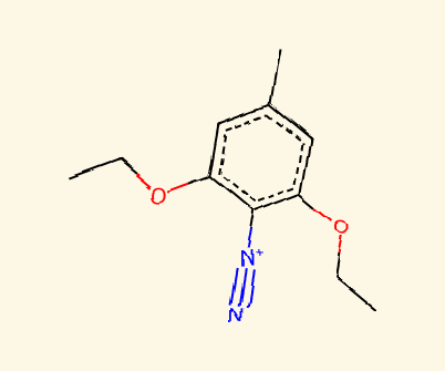 CCOc1cc(C)cc(OCC)c1[N+]#N